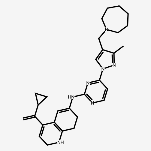 C=C(C1=CCNC2=C1C=C(Nc1nccc(-n3cc(CN4CCCCCC4)c(C)n3)n1)CC2)C1CC1